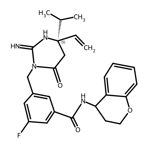 C=C[C@@]1(C(C)C)CC(=O)N(Cc2cc(F)cc(C(=O)NC3CCOc4ccccc43)c2)C(=N)N1